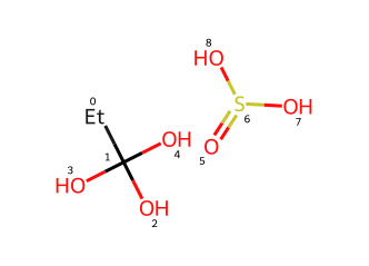 CCC(O)(O)O.O=S(O)O